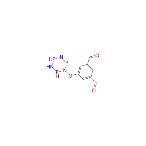 O=Cc1cc(C=O)cc(On2pn[pH][nH][pH]2)c1